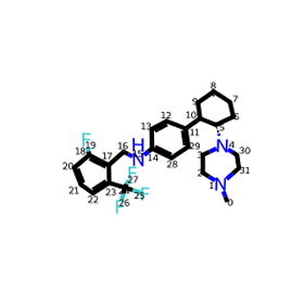 CN1CCN([C@H]2CC[CH]CC2c2ccc(NCc3c(F)cccc3C(F)(F)F)cc2)CC1